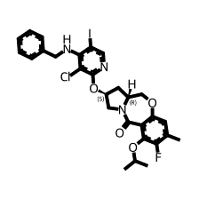 Cc1cc2c(c(OC(C)C)c1F)C(=O)N1C[C@@H](Oc3ncc(I)c(NCc4ccccc4)c3Cl)C[C@@H]1CO2